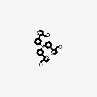 O=Cc1ccsc1-c1cccc(N(c2cccc(-c3sccc3C=O)c2)c2cccc(-c3sccc3C=O)c2)c1